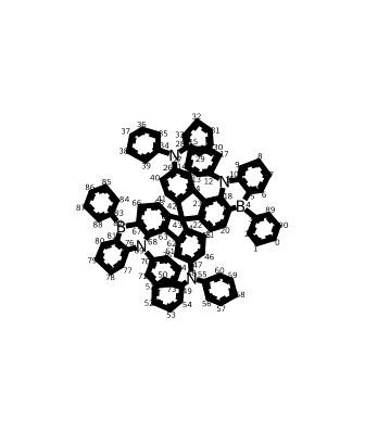 c1ccc(B2c3ccccc3N(c3ccccc3)c3c2ccc2c3-c3cc(N(c4ccccc4)c4ccccc4)ccc3C23c2ccc(N(c4ccccc4)c4ccccc4)cc2-c2c3ccc3c2N(c2ccccc2)c2ccccc2B3c2ccccc2)cc1